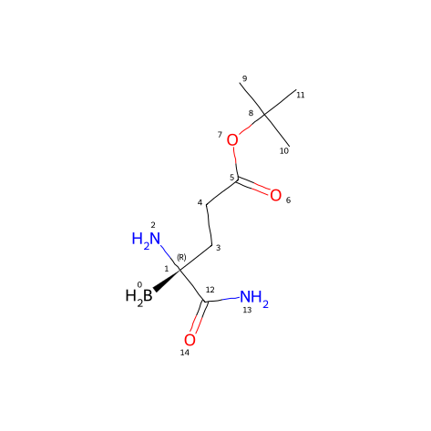 B[C@@](N)(CCC(=O)OC(C)(C)C)C(N)=O